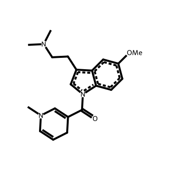 COc1ccc2c(c1)c(CCN(C)C)cn2C(=O)C1=CN(C)C=CC1